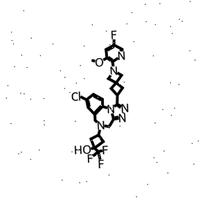 COc1cc(F)cnc1N1CC2(CC(c3nnc4n3-c3ccc(Cl)cc3CN(C3CC(O)(C(F)(F)F)C3)C4)C2)C1